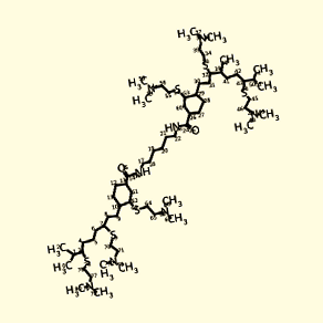 CC(C)C(CCCC(CCC1CCC(C(=O)NCCCCCCNC(=O)C2CCC(CCC(SCCN(C)C)C(C)CCC(SCCN(C)C)C(C)C)C(SCCN(C)C)C2)CC1SCCN(C)C)SCCN(C)C)SCCN(C)C